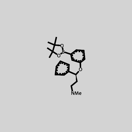 CNCC[C@H](Oc1cccc(B2OC(C)(C)C(C)(C)O2)c1)c1ccccc1